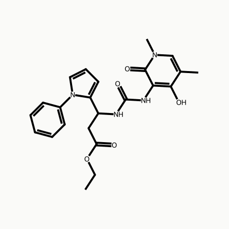 CCOC(=O)CC(NC(=O)Nc1c(O)c(C)cn(C)c1=O)c1cccn1-c1ccccc1